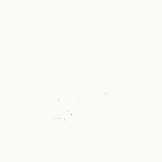 CC(C)(C)NC(=O)OC1(c2cc(F)ccc2OCc2ccccc2)CC1